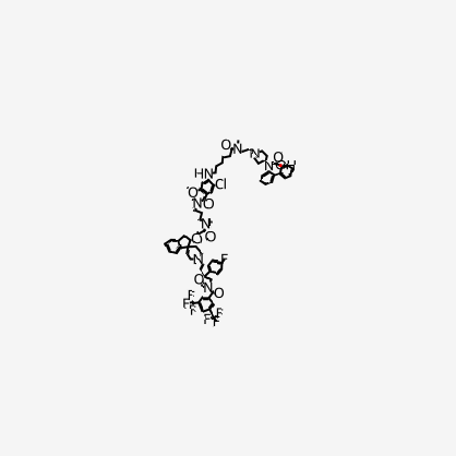 COc1cc(NCCCCCC(=O)N(C)CCN2CCC(N(C(=O)O)c3ccccc3-c3ccccc3)CC2)c(Cl)cc1C(=O)N(C)CCCN(C)C(=O)CO[C@H]1Cc2ccccc2C12CCN(CC[C@@]1(c3ccc(F)cc3)CN(C(=O)c3cc(C(F)(F)F)cc(C(F)(F)F)c3)CO1)CC2